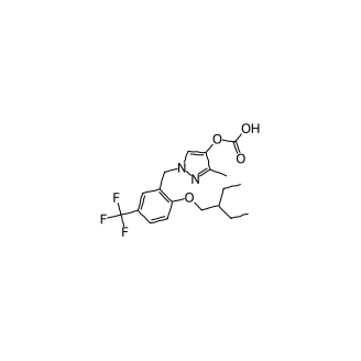 CCC(CC)COc1ccc(C(F)(F)F)cc1Cn1cc(OC(=O)O)c(C)n1